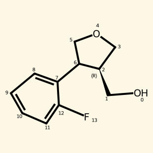 OC[C@@H]1COCC1c1ccccc1F